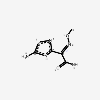 CO/N=C(/C([NH])=O)c1nsc(N)n1